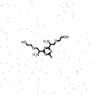 Cc1nc(C(N)COCCO)nc(C(N)COCCO)n1